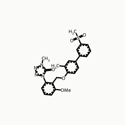 COc1cccc(-n2nnn(C)c2=O)c1COc1ccc(-c2cccc(S(C)(=O)=O)c2)cc1C